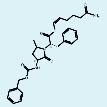 CC1C[C@H](NC(=O)OCc2ccccc2)C(=O)N1[C@@H](Cc1ccccc1)C(=O)O/C=C\CCCC(N)=O